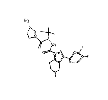 CN1CCc2c(c(-c3ccc(F)c(F)c3)nn2C(=O)N[C@H](C(=O)N2CC[C@H](O)C2)C(C)(C)C)C1